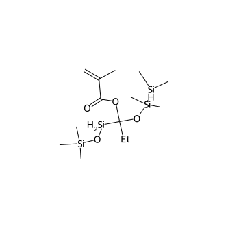 C=C(C)C(=O)OC(CC)(O[Si](C)(C)[SiH](C)C)[SiH2]O[Si](C)(C)C